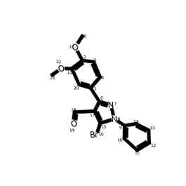 COc1ccc(-c2nn(-c3ccccc3)c(Br)c2C=O)cc1OC